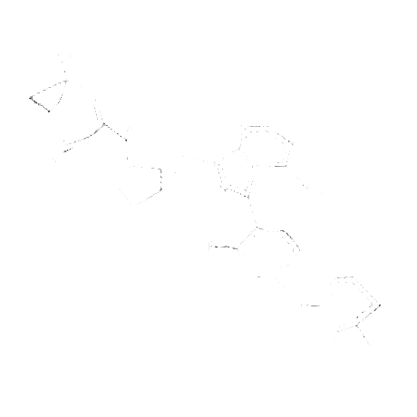 N#CC(=CC1(N)CC1)C(=O)N1CCC[C@H]1Cn1nc(-c2ccc(Oc3cccc(F)c3F)cc2F)c2c(N)ncnc21